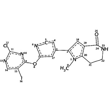 Cn1c(-c2ccnc(Oc3nc(Cl)ncc3I)c2)cc2c1CCNC2=O